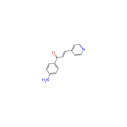 Nc1ccc(C(=O)C=Cc2ccncc2)cc1